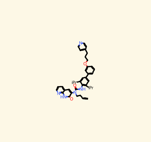 C=CCCN(C(=O)Nc1c(C(C)C)cc(-c2cccc(OCCCc3ccncc3)c2)cc1C(C)C)c1cc2cccnc2[nH]c1=O